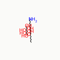 CCCCCCCCCCCCCCCCN.O=C(O)C(O)C(O)C(O)C(O)CO